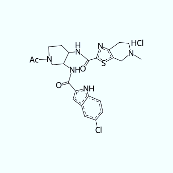 CC(=O)N1CCC(NC(=O)c2nc3c(s2)CN(C)CC3)C(NC(=O)c2cc3cc(Cl)ccc3[nH]2)C1.Cl